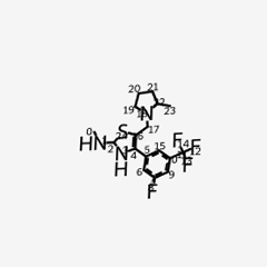 CNC1NC(c2cc(F)cc(C(F)(F)F)c2)=C(CN2CCCC2C)S1